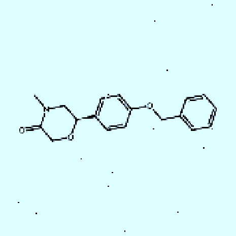 CN1C[C@@H](c2ccc(OCc3ccccc3)cc2)OCC1=O